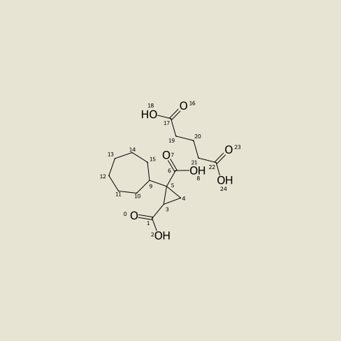 O=C(O)C1CC1(C(=O)O)C1CCCCCC1.O=C(O)CCCC(=O)O